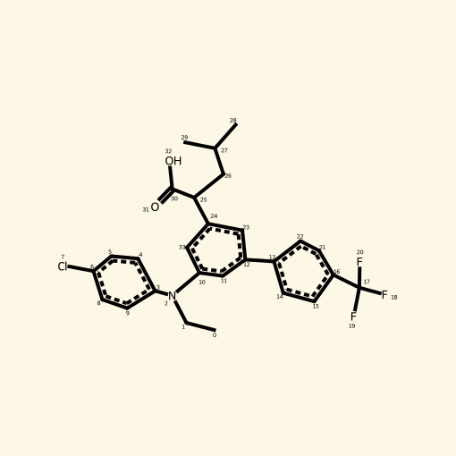 CCN(c1ccc(Cl)cc1)c1cc(-c2ccc(C(F)(F)F)cc2)cc(C(CC(C)C)C(=O)O)c1